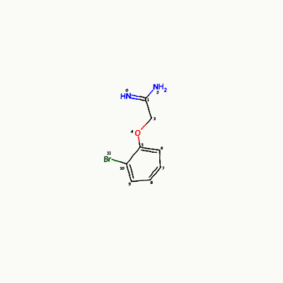 N=C(N)COc1ccccc1Br